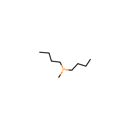 CCCCP(C)CCCC